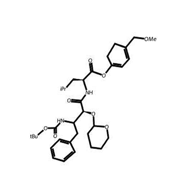 COCC1=CC=C(OC(=O)[C@H](CC(C)C)NC(=O)[C@@H](OC2CCCCO2)C(Cc2ccccc2)NC(=O)OC(C)(C)C)CC1